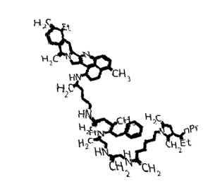 C=C(CCCCCN1C(=C)CC(C(CC)CCC)C1=C)NCC(=C)NCC(=C)NC(Cc1ccccc1)C(C)CC(=C)NCCCC(=C)NC1CCc2c(C)ccc3nc4c(c1c23)CN1C(=C)C2=C(C=C41)C(CC)C(=C)CC2